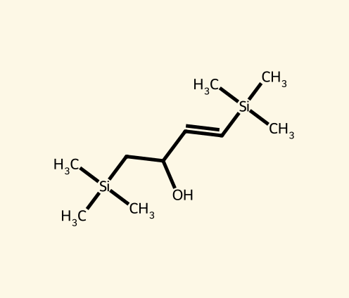 C[Si](C)(C)/C=C/C(O)C[Si](C)(C)C